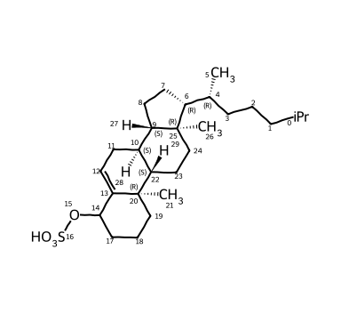 CC(C)CCC[C@@H](C)[C@H]1CC[C@H]2[C@@H]3CC=C4C(OS(=O)(=O)O)CCC[C@]4(C)[C@H]3CC[C@]12C